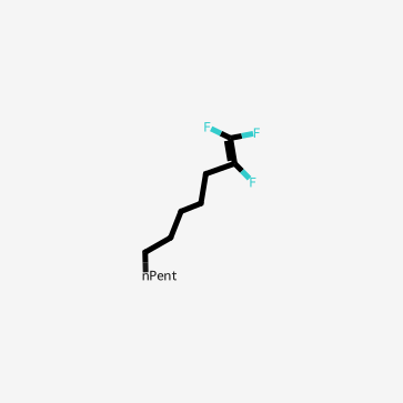 CCCCCCCCCCC(F)=C(F)F